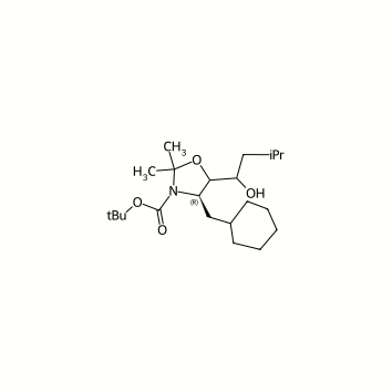 CC(C)CC(O)C1OC(C)(C)N(C(=O)OC(C)(C)C)[C@@H]1CC1CCCCC1